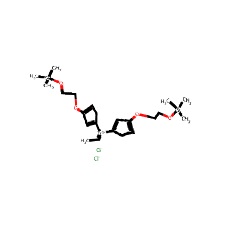 C[CH]=[Zr+2]([C]1=CC(OCCO[Si](C)(C)C)=CC1)[C]1=CC(OCCO[Si](C)(C)C)=CC1.[Cl-].[Cl-]